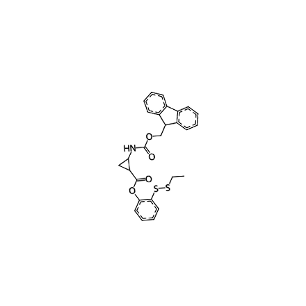 CCSSc1ccccc1OC(=O)C1CC1NC(=O)OCC1c2ccccc2-c2ccccc21